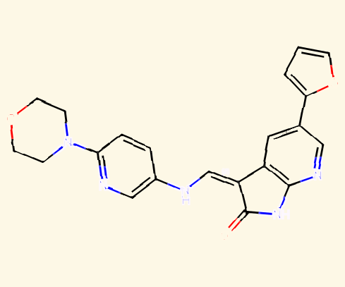 O=C1Nc2ncc(-c3ccco3)cc2/C1=C/Nc1ccc(N2CCOCC2)nc1